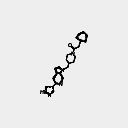 O=C(Cc1ccccc1)N1CCC(Cn2ccc3cc(-c4cn[nH]c4)ncc32)CC1